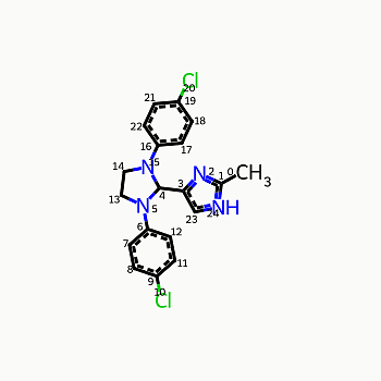 Cc1nc(C2N(c3ccc(Cl)cc3)CCN2c2ccc(Cl)cc2)c[nH]1